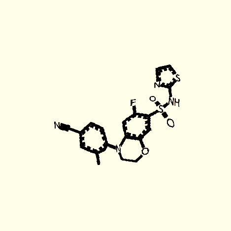 Cc1cc(C#N)ccc1N1CCOc2cc(S(=O)(=O)Nc3nccs3)c(F)cc21